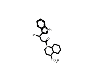 CC(C)C(CC(=O)N1CCC(C(=O)O)C2CCCCC21)c1c[nH]c2ccccc12